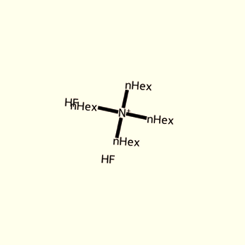 CCCCCC[N+](CCCCCC)(CCCCCC)CCCCCC.F.F